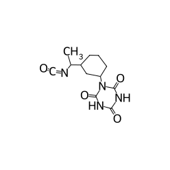 CC(N=C=O)C1CCCC(n2c(=O)[nH]c(=O)[nH]c2=O)C1